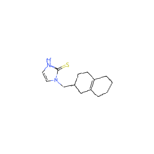 S=c1[nH]ccn1CC1CCC2=C(CCCC2)C1